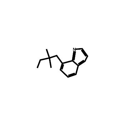 CCC(C)(C)Cc1cccc2cccnc12